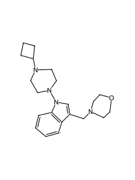 [c]1cccc2c1c(CN1CCOCC1)cn2N1CCN(C2CCC2)CC1